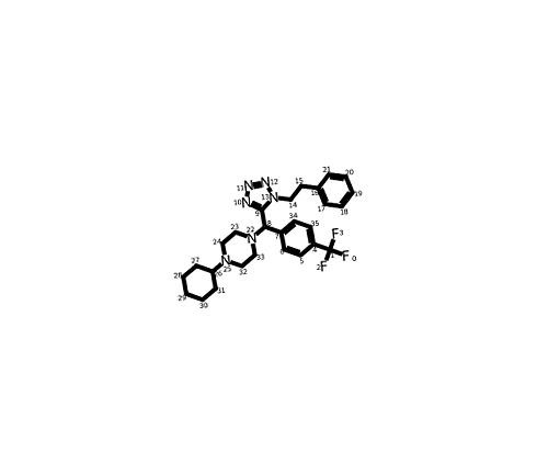 FC(F)(F)c1ccc(C(c2nnnn2CCc2ccccc2)N2CCN(C3CCCCC3)CC2)cc1